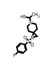 CC(S)N1CCC2(CC1)CN2S(=O)(=O)c1ccc(F)cc1